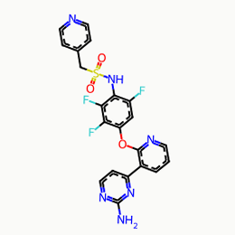 Nc1nccc(-c2cccnc2Oc2cc(F)c(NS(=O)(=O)Cc3ccncc3)c(F)c2F)n1